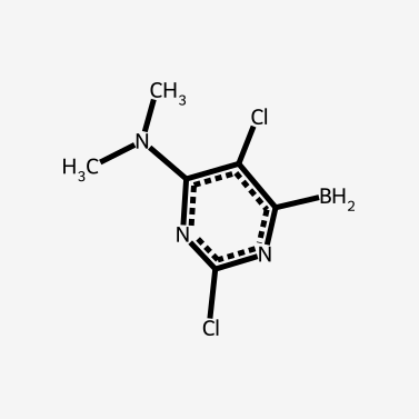 Bc1nc(Cl)nc(N(C)C)c1Cl